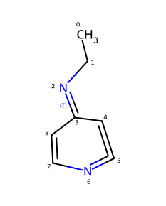 CC/N=C1\C=C=NC=C1